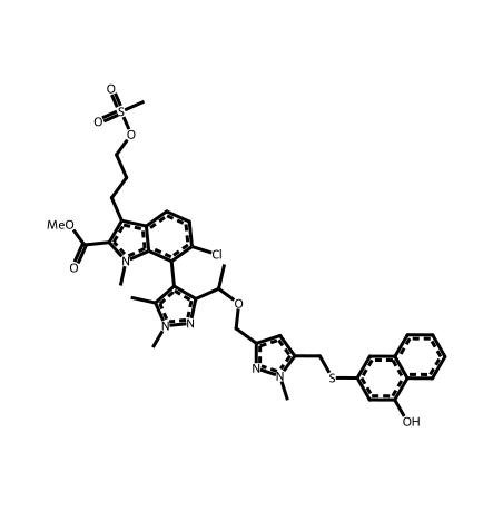 COC(=O)c1c(CCCOS(C)(=O)=O)c2ccc(Cl)c(-c3c(C(C)OCc4cc(CSc5cc(O)c6ccccc6c5)n(C)n4)nn(C)c3C)c2n1C